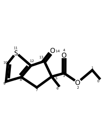 CCOC(=O)C1(C)Cc2ccsc2C1=O